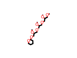 COCC(COCC(COCC(COC1CCCCO1)OC)OC)OC